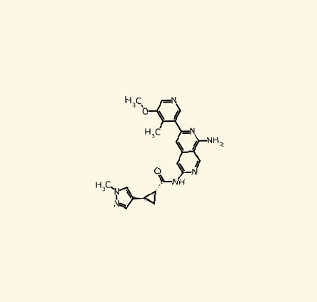 COc1cncc(-c2cc3cc(NC(=O)[C@@H]4C[C@H]4c4cnn(C)c4)ncc3c(N)n2)c1C